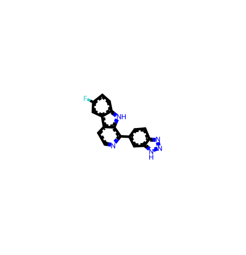 Fc1ccc2[nH]c3c(-c4ccc5nn[nH]c5c4)nccc3c2c1